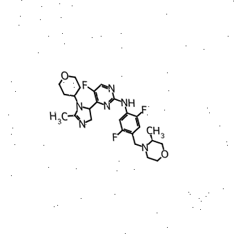 CC1=NCC(c2nc(Nc3cc(F)c(CN4CCOC[C@@H]4C)cc3F)ncc2F)N1C1CCOCC1